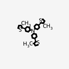 Cc1ccsc1-c1ccc(N(c2ccc(-c3sccc3C)cc2)c2ccc(-c3sccc3C)cc2)cc1